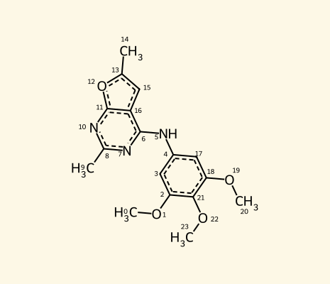 COc1cc(Nc2nc(C)nc3oc(C)cc23)cc(OC)c1OC